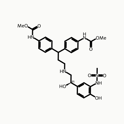 COC(=O)Nc1ccc(C(CCNC[C@H](O)c2ccc(O)c(NS(C)(=O)=O)c2)c2ccc(NC(=O)OC)cc2)cc1